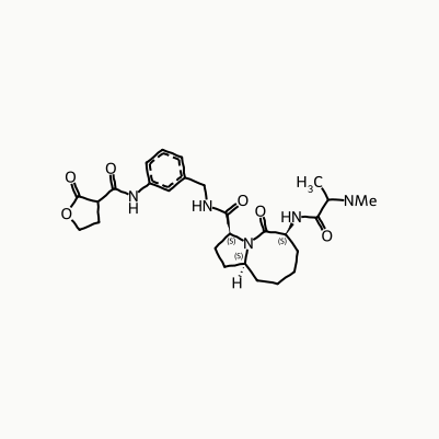 CNC(C)C(=O)N[C@H]1CCCC[C@H]2CC[C@@H](C(=O)NCc3cccc(NC(=O)C4CCOC4=O)c3)N2C1=O